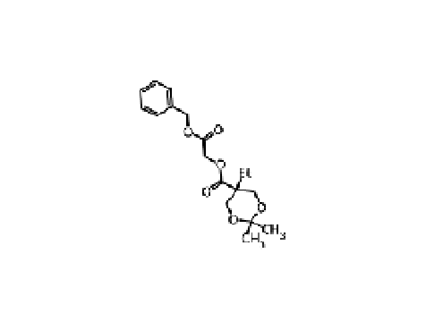 CCC1(C(=O)OCC(=O)OCc2ccccc2)COC(C)(C)OC1